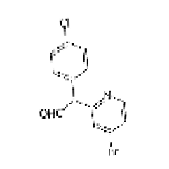 O=CC(c1ccc(Cl)cc1)c1cc(Br)ccn1